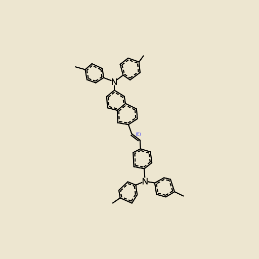 Cc1ccc(N(c2ccc(C)cc2)c2ccc(/C=C/c3ccc4cc(N(c5ccc(C)cc5)c5ccc(C)cc5)ccc4c3)cc2)cc1